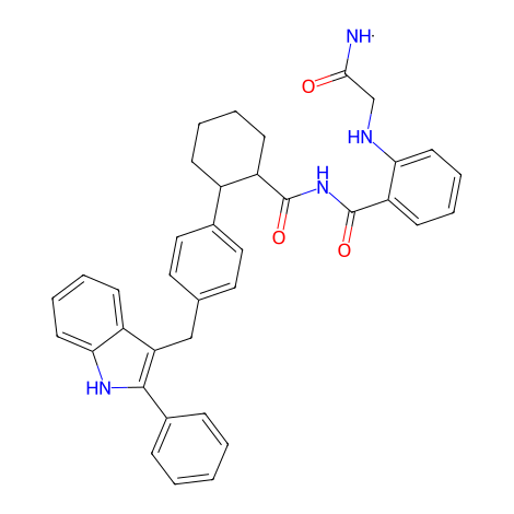 [NH]C(=O)CNc1ccccc1C(=O)NC(=O)C1CCCCC1c1ccc(Cc2c(-c3ccccc3)[nH]c3ccccc23)cc1